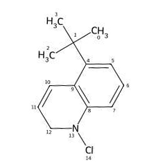 CC(C)(C)c1cccc2c1C=CCN2Cl